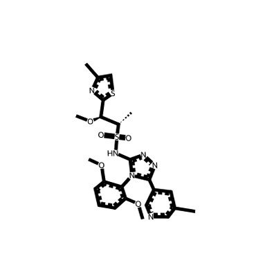 COc1cccc(OC)c1-n1c(NS(=O)(=O)[C@@H](C)[C@@H](OC)c2nc(C)cs2)nnc1-c1cncc(C)c1